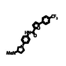 CNC1CCN(c2ccc(NC(=O)c3ccc(-c4ccc(C(F)(F)F)cc4)o3)cc2)C1